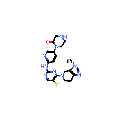 CC(C)n1cnc2c1CN(c1nc(Nc3ccc(N4CCNCC4=O)cn3)ncc1F)CC2